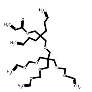 C=CCCC(CCC=C)(COCC(COCOC=C)(COCOC=C)COCOC=C)COC(=O)C=C